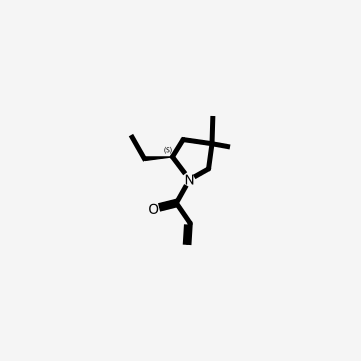 C=CC(=O)N1CC(C)(C)C[C@@H]1CC